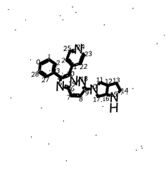 c1ccc(-c2nc3ccc(N4CC5CCNC5C4)nn3c2-c2ccncc2)cc1